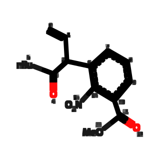 C=CC(C(=O)CCCC)c1cccc(C(=O)OC)c1[N+](=O)[O-]